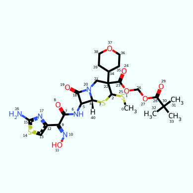 CSC1S[C@@H]2C(NC(=O)C(=NO)c3csc(N)n3)C(=O)N2CC1(C(=O)OCOC(=O)C(C)(C)C)C1CCOCC1